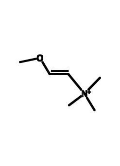 COC=C[N+](C)(C)C